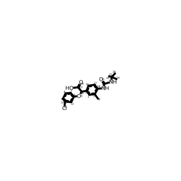 Cc1cc(C(Oc2cccc(Cl)c2)C(=O)O)ccc1NC(=O)NC(C)(C)C